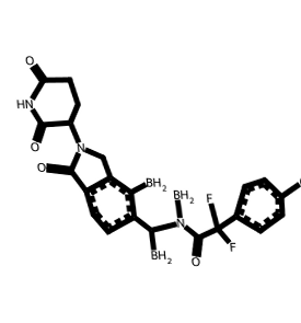 Bc1c(C(B)N(B)C(=O)C(F)(F)c2ccc(Cl)cc2)ccc2c1CN(C1CCC(=O)NC1=O)C2=O